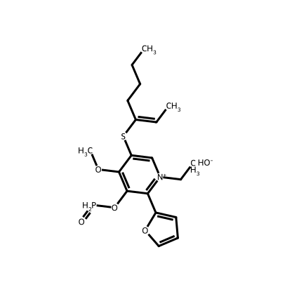 CC=C(CCCC)Sc1c[n+](CC)c(-c2ccco2)c(O[PH2]=O)c1OC.[OH-]